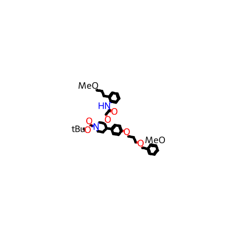 COCCCc1ccccc1NC(=O)COC1CN(C(=O)OC(C)(C)C)CCC1c1ccc(OCCCOCc2ccccc2OC)cc1